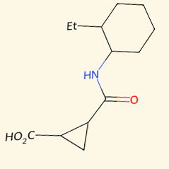 CCC1CCCCC1NC(=O)C1CC1C(=O)O